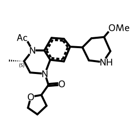 COC1CNCC(c2ccc3c(c2)N(C(=O)C2CCCO2)C[C@H](C)N3C(C)=O)C1